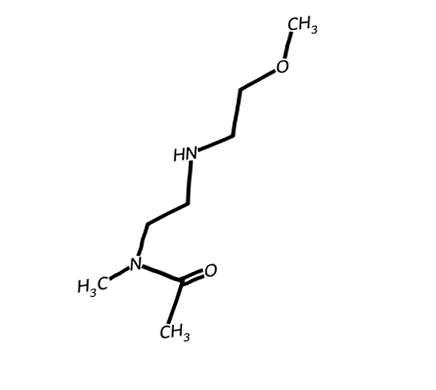 COCCNCCN(C)C(C)=O